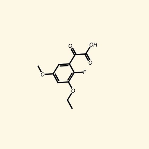 CCOc1cc(OC)cc(C(=O)C(=O)O)c1F